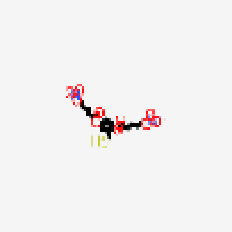 O=C(CCCCO[N+](=O)[O-])Oc1ccc(OC(=O)CCCCO[N+](=O)[O-])c(CS)c1